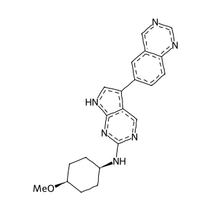 CO[C@H]1CC[C@@H](Nc2ncc3c(-c4ccc5ncncc5c4)c[nH]c3n2)CC1